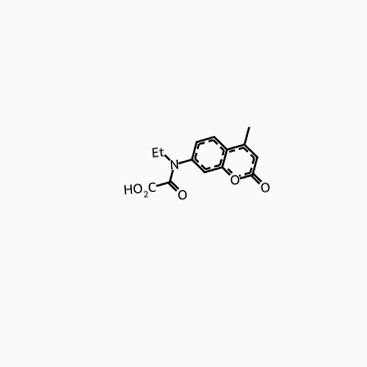 CCN(C(=O)C(=O)O)c1ccc2c(C)cc(=O)oc2c1